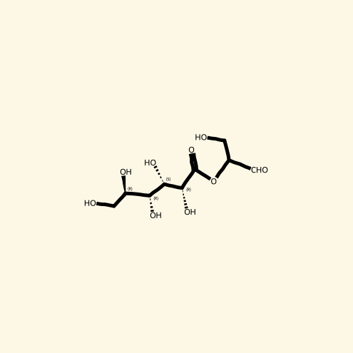 O=CC(CO)OC(=O)[C@H](O)[C@@H](O)[C@H](O)[C@H](O)CO